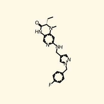 CC[C@H]1C(=O)Nc2cnc(NCc3cnn(Cc4ccc(F)cc4)c3)cc2N1C